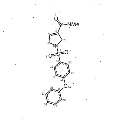 CNC(=O)C1=CCN(S(=O)(=O)c2ccc(Oc3ccccc3)cc2)C1